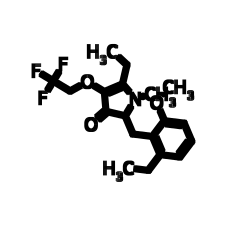 CCC1=C(OCC(F)(F)F)C(=O)C(Cc2c(CC)cccc2OC)N1C